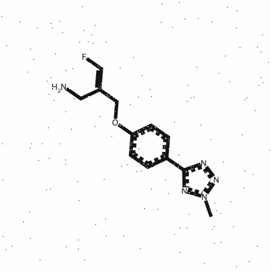 Cn1nnc(-c2ccc(OC/C(=C/F)CN)cc2)n1